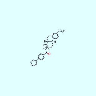 C[C@]12CC[C@@H]3c4ccc(C(=O)O)cc4CC[C@H]3[C@@H]1CC[C@@H]2C(=O)c1ccc(-c2ccccc2)cc1